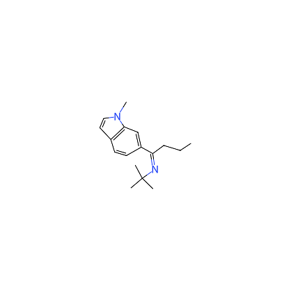 CCC/C(=N/C(C)(C)C)c1ccc2ccn(C)c2c1